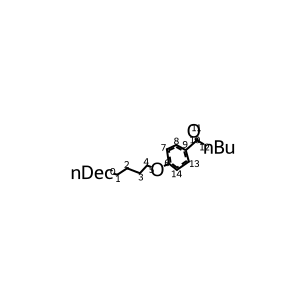 CCCCCCCCCCCCCCOc1ccc(C(=O)CCCC)cc1